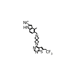 Cc1c(CN2CC3(C2)CN(c2ncnc4sc(CC(F)(F)F)cc24)C3)ccc2[nH]c(C#N)cc12